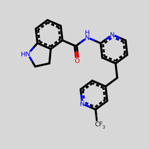 O=C(Nc1cc(Cc2ccnc(C(F)(F)F)c2)ccn1)c1cccc2c1CCN2